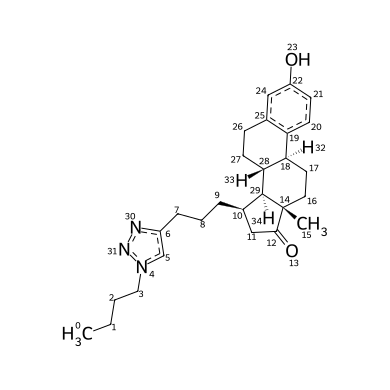 CCCCn1cc(CCC[C@@H]2CC(=O)[C@@]3(C)CC[C@@H]4c5ccc(O)cc5CC[C@H]4[C@H]23)nn1